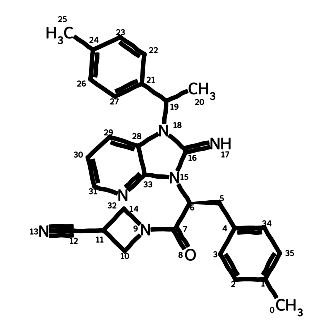 Cc1ccc(C[C@@H](C(=O)N2CC(C#N)C2)n2c(=N)n(C(C)c3ccc(C)cc3)c3cccnc32)cc1